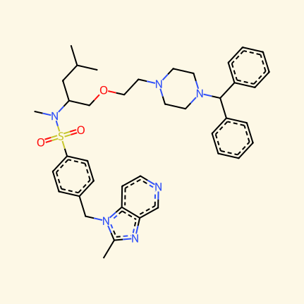 Cc1nc2cnccc2n1Cc1ccc(S(=O)(=O)N(C)C(COCCN2CCN(C(c3ccccc3)c3ccccc3)CC2)CC(C)C)cc1